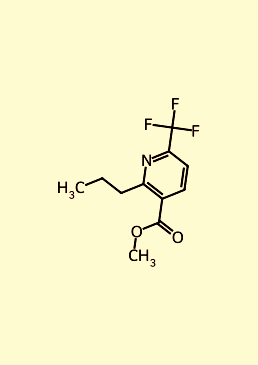 CCCc1nc(C(F)(F)F)ccc1C(=O)OC